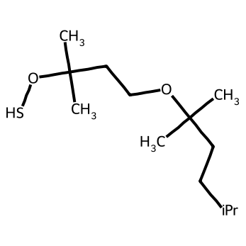 CC(C)CCC(C)(C)OCCC(C)(C)OS